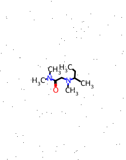 CCC(C)N(C)CC(=O)N(C)C